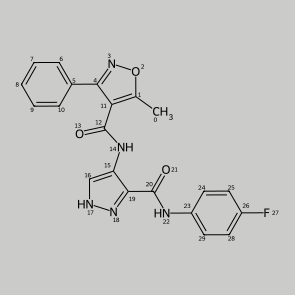 Cc1onc(-c2ccccc2)c1C(=O)Nc1c[nH]nc1C(=O)Nc1ccc(F)cc1